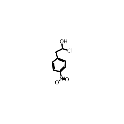 O=[N+]([O-])c1ccc(CC(O)Cl)cc1